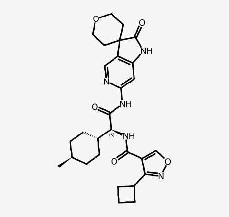 C[C@H]1CC[C@H]([C@H](NC(=O)c2conc2C2CCC2)C(=O)Nc2cc3c(cn2)C2(CCOCC2)C(=O)N3)CC1